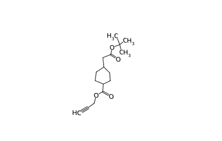 C#CCOC(=O)C1CCC(CC(=O)OC(C)(C)C)CC1